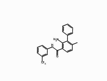 Cc1ccc(C(=O)Nc2cccc(C(F)(F)F)c2)c(N)c1-c1ccccc1